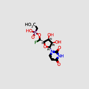 O=C(O)CP(=O)(O)OC(F)[C@H]1O[C@@H](n2ccc(=O)[nH]c2=O)[C@H](O)[C@@H]1O